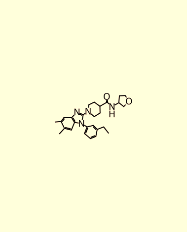 CCc1cccc(-n2c(N3CCC(C(=O)NC4CCOC4)CC3)nc3cc(C)c(C)cc32)c1